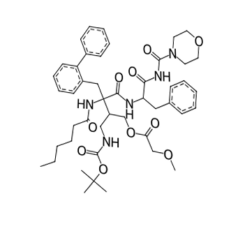 CCCCCC(=O)NC(Cc1ccccc1-c1ccccc1)(C(=O)NC(Cc1ccccc1)C(=O)NC(=O)N1CCOCC1)C(CNC(=O)OC(C)(C)C)COC(=O)COC